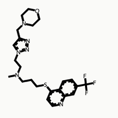 CN(CCCSc1ccnc2cc(C(F)(F)F)ccc12)CCn1cc(CN2CCOCC2)nn1